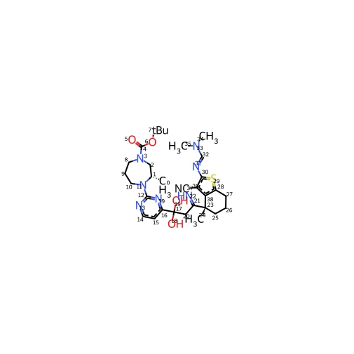 C[C@H]1CN(C(=O)OC(C)(C)C)CCCN1c1nccc(C(O)(O)CC(=N)[C@@]2(C)CCCc3sc(/N=C/N(C)C)c(C#N)c32)n1